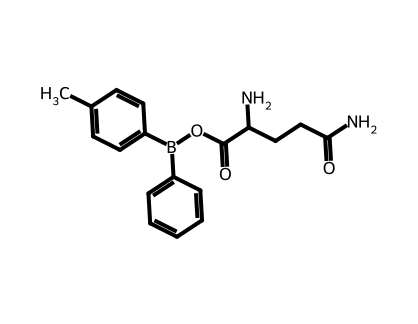 Cc1ccc(B(OC(=O)C(N)CCC(N)=O)c2ccccc2)cc1